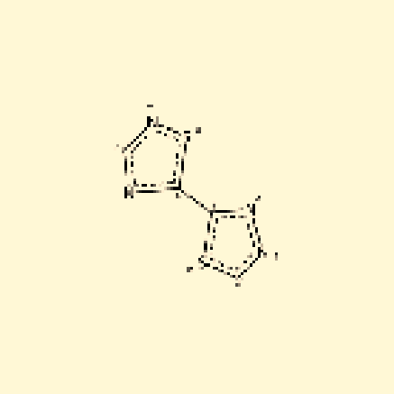 [c]1nnc(-c2ncns2)s1